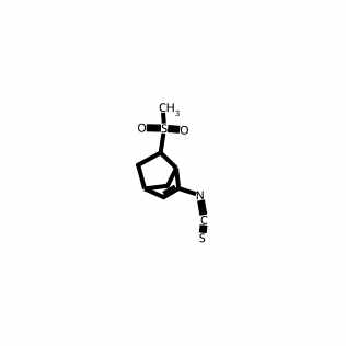 CS(=O)(=O)C1CC2C=C(N=C=S)C1C2